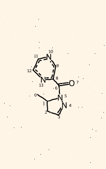 CC1CC=NN1C(=O)c1cnccn1